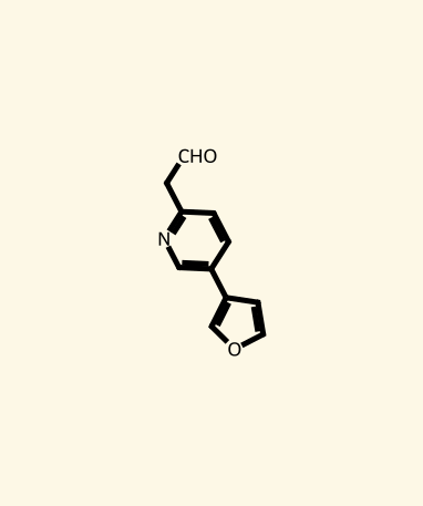 O=CCc1ccc(-c2ccoc2)cn1